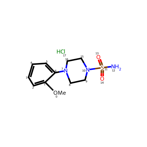 COc1ccccc1N1CCN(S(N)(=O)=O)CC1.Cl